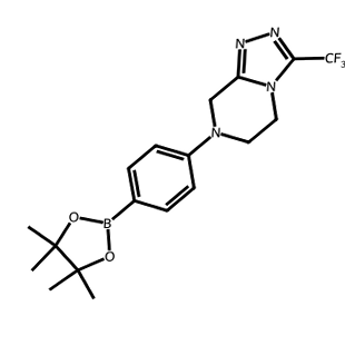 CC1(C)OB(c2ccc(N3CCn4c(nnc4C(F)(F)F)C3)cc2)OC1(C)C